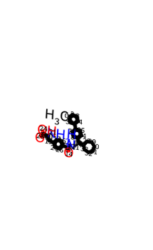 Cc1cccc(-c2ccc([C@H](CNC(=O)c3ccc(C[C@@H](N)C(=O)O)cc3)C3CCCCCC3)cc2)c1